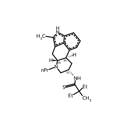 CCCN1C[C@@H](NC(=S)C(C)(CC)CC)C[C@@H]2c3cccc4[nH]c(C)c(c34)C[C@H]21